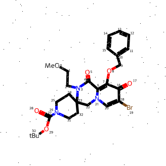 COCCN1C(=O)c2c(OCc3ccccc3)c(=O)c(Br)cn2CC12CCN(C(=O)OC(C)(C)C)CC2